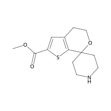 COC(=O)c1cc2c(s1)C1(CCNCC1)OCC2